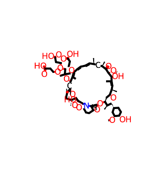 CO[C@@H]1C[C@H](C[C@@H](C)[C@@H]2CC(=O)[C@H](C)/C=C(\C)[C@@H](O)[C@@H](OC)C(=O)[C@H](C)C[C@H](C)/C=C/C=C/C=C(\C)C(OC(COCCC(=O)O)(COCCC(=O)O)COCCC(=O)O)C[C@@H]3CC[C@@H](C)[C@@](O)(O3)C(=O)C(=O)N3CCCC[C@H]3C(=O)O2)CC[C@H]1O